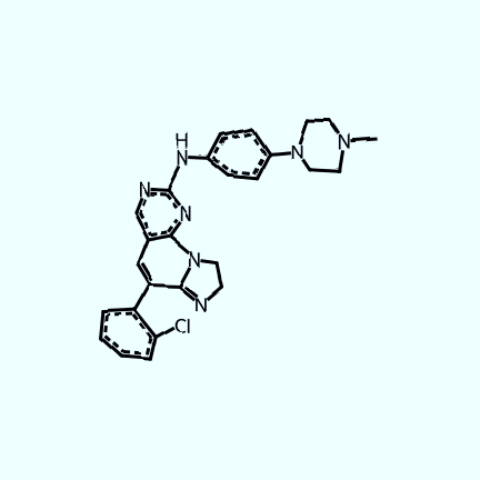 CN1CCN(c2ccc(Nc3ncc4c(n3)N3CCN=C3C(c3ccccc3Cl)=C4)cc2)CC1